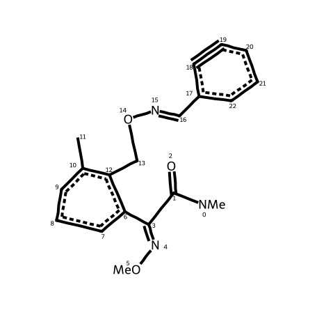 CNC(=O)/C(=N/OC)c1cccc(C)c1CO/N=C/c1c#cccc1